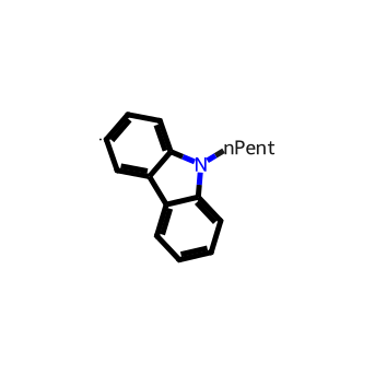 CCCCCn1c2cc[c]cc2c2ccccc21